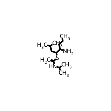 C=C(NC(C)C)SC(CC(C)C)C(N)CCC